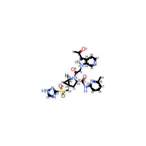 CC(=O)c1nn(CC(=O)N2[C@H](C(=O)Nc3cccc(C)n3)C[C@@]3(CS(=O)(=O)c4nc[nH]n4)C[C@@H]23)c2cnccc12